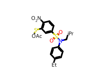 CCc1ccc(N(CC(C)C)S(=O)(=O)c2ccc([N+](=O)[O-])c(SOC(C)=O)c2)cc1